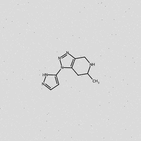 CC1Cc2c(nnn2-c2ccn[nH]2)CN1